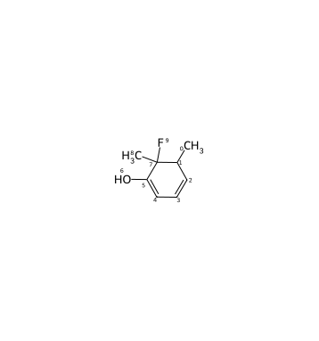 CC1C=CC=C(O)C1(C)F